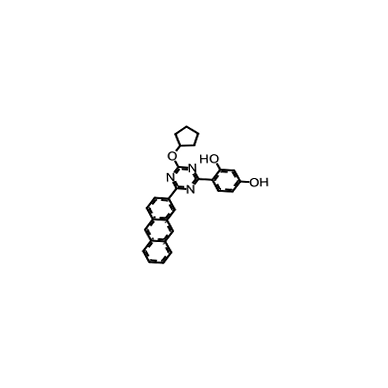 Oc1ccc(-c2nc(OC3CCCC3)nc(-c3ccc4cc5ccccc5cc4c3)n2)c(O)c1